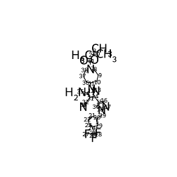 CC(C)(C)OC(=O)N1CCCC(n2nc(-c3cnn(Cc4cccc(C(F)(F)F)c4)c3)c(C#N)c2N)CCC1